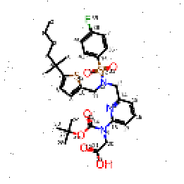 CCCCC(C)(C)c1ccc(CN(Cc2cccc(N(CC(=O)O)C(=O)OC(C)(C)C)n2)S(=O)(=O)c2ccc(F)cc2)s1